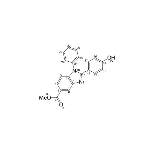 COC(=O)c1ccc2c(c1)nc(-c1ccc(O)cc1)n2-c1ccccc1